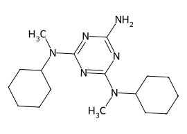 CN(c1nc(N)nc(N(C)C2CCCCC2)n1)C1CCCCC1